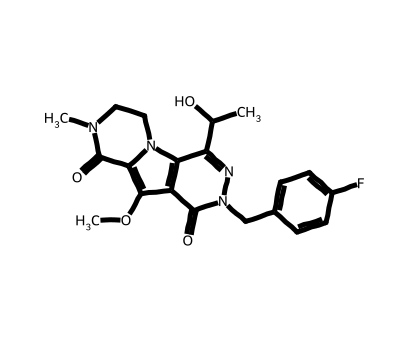 COc1c2n(c3c(C(C)O)nn(Cc4ccc(F)cc4)c(=O)c13)CCN(C)C2=O